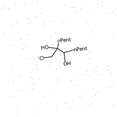 CCCCCC(O)C(O)(CCl)CCCCC